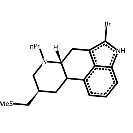 CCCN1C[C@H](CSC)CC2c3cccc4[nH]c(Br)c(c34)C[C@H]21